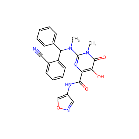 CN(c1nc(C(=O)Nc2cnoc2)c(O)c(=O)n1C)C(c1ccccc1)c1ccccc1C#N